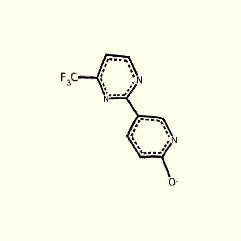 [O]c1ccc(-c2nccc(C(F)(F)F)n2)cn1